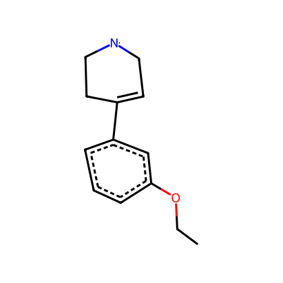 CCOc1cccc(C2=CC[N]CC2)c1